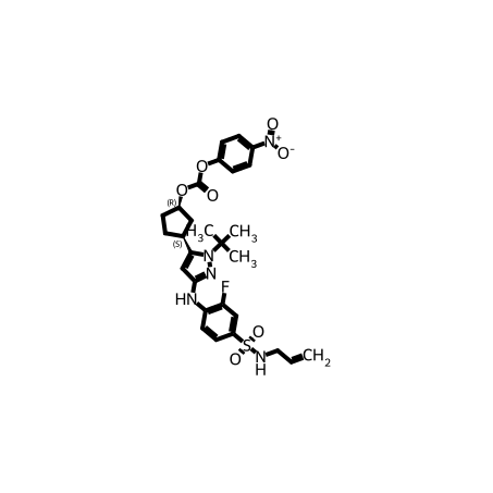 C=CCNS(=O)(=O)c1ccc(Nc2cc([C@H]3CC[C@@H](OC(=O)Oc4ccc([N+](=O)[O-])cc4)C3)n(C(C)(C)C)n2)c(F)c1